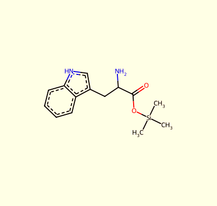 C[Si](C)(C)OC(=O)C(N)Cc1c[nH]c2ccccc12